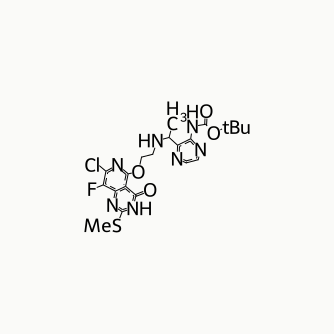 CSc1nc2c(F)c(Cl)nc(OCCNC(C)c3nccnc3NC(=O)OC(C)(C)C)c2c(=O)[nH]1